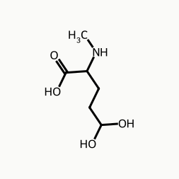 CNC(CCC(O)O)C(=O)O